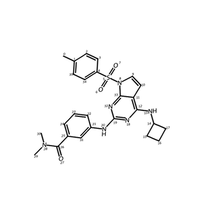 Cc1ccc(S(=O)(=O)n2ccc3c(NC4CCC4)nc(Nc4cccc(C(=O)N(C)C)c4)nc32)cc1